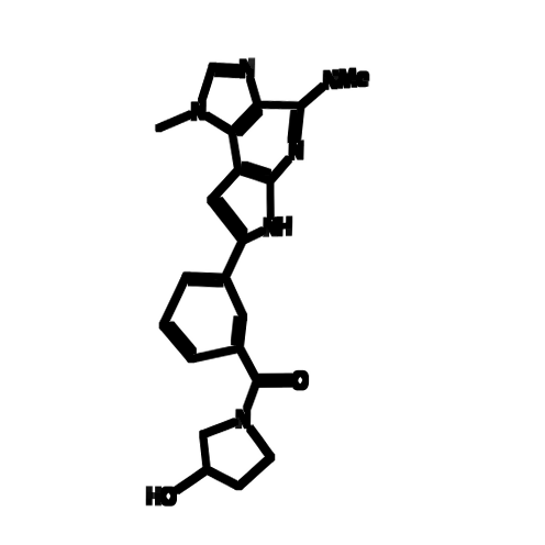 CNc1nc2[nH]c(-c3cccc(C(=O)N4CCC(O)C4)c3)cc2c2c1ncn2C